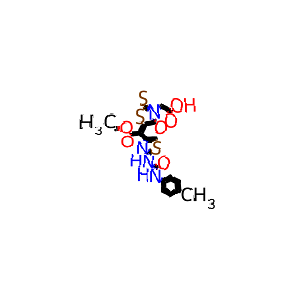 CCOC(=O)/C(=C1\SC(=S)N(CC(=O)O)C1=O)c1csc(NC(=O)Nc2ccc(C)cc2)n1